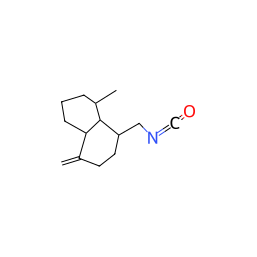 C=C1CCC(CN=C=O)C2C(C)CCCC12